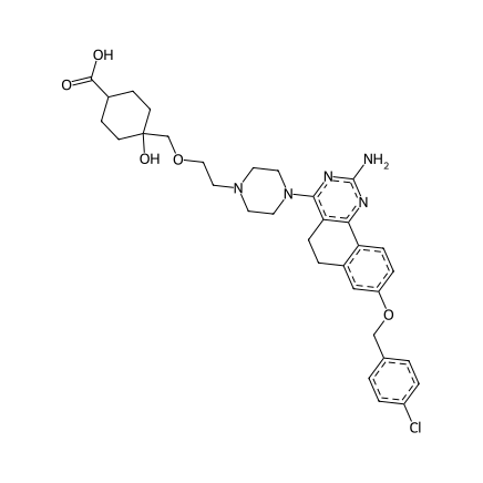 Nc1nc2c(c(N3CCN(CCOCC4(O)CCC(C(=O)O)CC4)CC3)n1)CCc1cc(OCc3ccc(Cl)cc3)ccc1-2